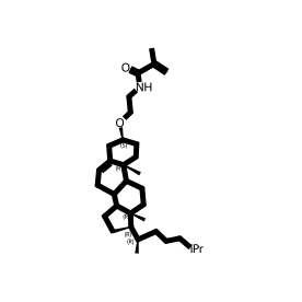 C=C(C)C(=O)NCCO[C@H]1CC[C@@]2(C)C(=CCC3C2CC[C@@]2(C)C3CC[C@@H]2[C@H](C)CCCC(C)C)C1